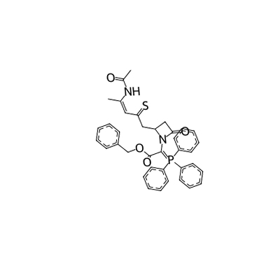 CC(=O)NC(C)=CC(=S)CC1CC(=O)N1C(C(=O)OCc1ccccc1)=P(c1ccccc1)(c1ccccc1)c1ccccc1